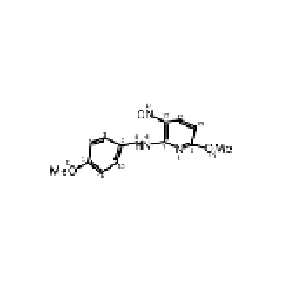 COc1ccc(CNc2nc(OC)ccc2N=O)cc1